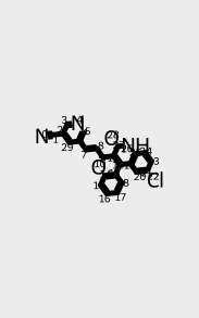 N#Cc1cncc(/C=C/C(=O)c2c(-c3ccccc3)c3cc(Cl)ccc3[nH]c2=O)c1